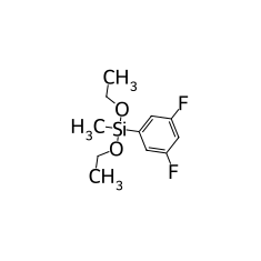 CCO[Si](C)(OCC)c1cc(F)cc(F)c1